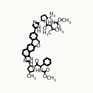 COC(=O)NC(C(=O)N1C[C@@H](C)C[C@H]1c1nc2ccc3cc4c(cc3c2[nH]1)OCc1cc(-c2cnc([C@@H]3CC[C@H](C)N3C(=O)[C@@H](NC(=O)OC)C(C)C)[nH]2)ccc1-4)c1ccccc1